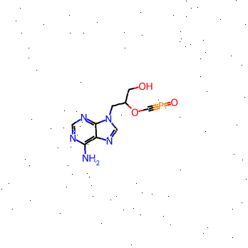 Nc1ncnc2c1ncn2CC(CO)OC#P=O